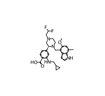 COc1cc(C)c2[nH]ccc2c1CN1CCN(CC(F)F)C[C@@H]1c1ccc(C(=O)O)c(NCC2CC2)c1